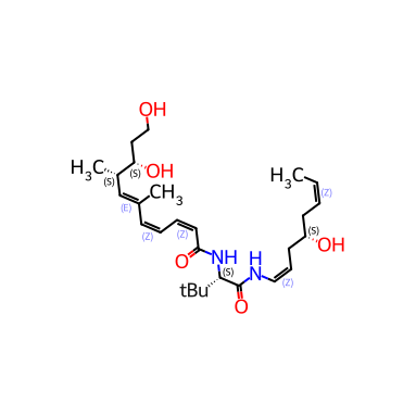 C/C=C\C[C@H](O)C/C=C\NC(=O)[C@@H](NC(=O)\C=C/C=C\C(C)=C\[C@H](C)[C@@H](O)CCO)C(C)(C)C